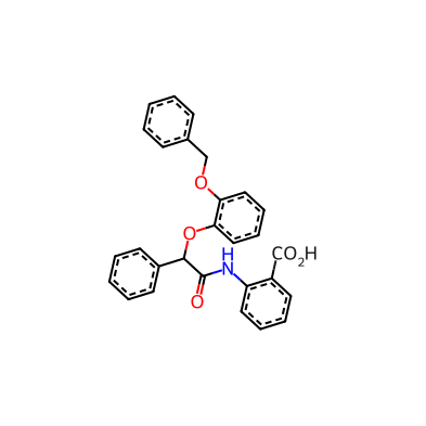 O=C(O)c1ccccc1NC(=O)C(Oc1ccccc1OCc1ccccc1)c1ccccc1